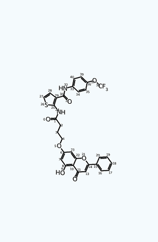 O=C(CCCOc1cc(O)c2c(=O)cc(-c3ccccc3)oc2c1)Nc1sccc1C(=O)Nc1ccc(OC(F)(F)F)cc1